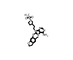 CS(=O)(=O)N1CCC(CCn2c(Sc3cc4c(cc3I)CCO4)nc3c(N)ncnc32)C1